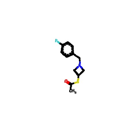 CC(=O)SC1CN(Cc2ccc(F)cc2)C1